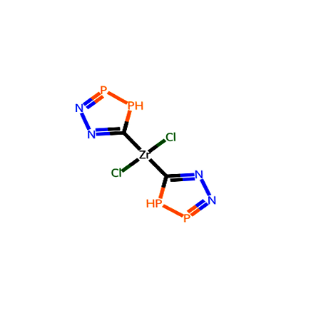 [Cl][Zr]([Cl])([c]1nnp[pH]1)[c]1nnp[pH]1